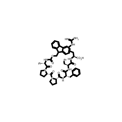 CC(C)C[C@H](NC(=O)[C@H](Cc1ccccc1)NC(=O)[C@@H]1CCCN1C(=O)[C@@H]1CCCN1C(=O)[C@@H](NC(=O)OCC1c2ccccc2-c2ccccc21)C(C)C)C(=O)N[C@@H](CCCNC(=N)N)C(=O)O